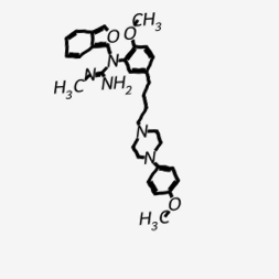 CN=C(N)N(c1cc(CCCCN2CCN(c3ccc(OC)cc3)CC2)ccc1OC)c1occ2ccccc12